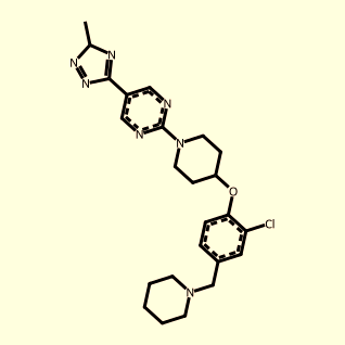 CC1N=NC(c2cnc(N3CCC(Oc4ccc(CN5CCCCC5)cc4Cl)CC3)nc2)=N1